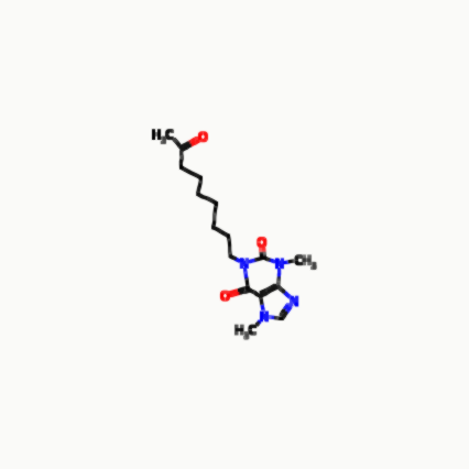 CC(=O)CCCCCCCn1c(=O)c2c(ncn2C)n(C)c1=O